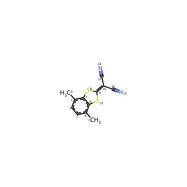 Cc1ccc(C)c2c1SC(=C(C#N)C#N)S2